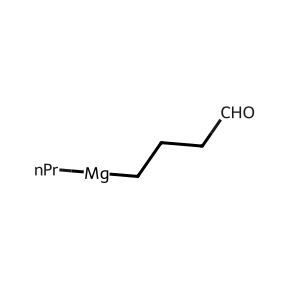 CC[CH2][Mg][CH2]CCC=O